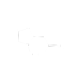 C=C(C)CC1OCCN1CC